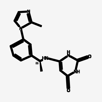 Cc1nccn1-c1cccc([C@H](C)Nc2cc(=O)[nH]c(=O)[nH]2)c1